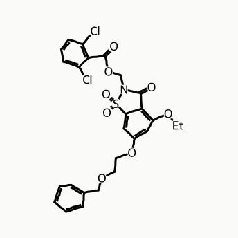 CCOc1cc(OCCOCc2ccccc2)cc2c1C(=O)N(COC(=O)c1c(Cl)cccc1Cl)S2(=O)=O